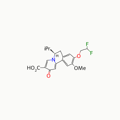 COc1cc2c(cc1OCC(F)F)C[C@H](C(C)C)n1cc(C(=O)O)c(=O)cc1-2